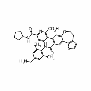 Cc1cc(CN)cc(C)c1NC(=O)c1cc2c(cc1-c1ccc(C(=O)NC3CCCC3)nc1C(=O)O)OCCc1ccsc1-2